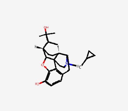 CC(C)(O)C1C[C@@]23CC[C@@H]1C1Oc4c(O)ccc5c4C12CCN([11CH2]C1CC1)C3C5